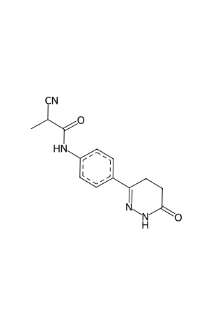 CC(C#N)C(=O)Nc1ccc(C2=NNC(=O)CC2)cc1